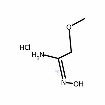 COC/C(N)=N\O.Cl